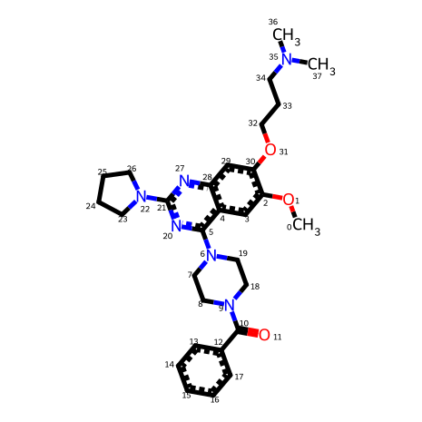 COc1cc2c(N3CCN(C(=O)c4ccccc4)CC3)nc(N3CCCC3)nc2cc1OCCCN(C)C